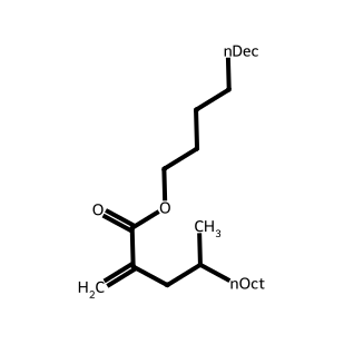 C=C(CC(C)CCCCCCCC)C(=O)OCCCCCCCCCCCCCC